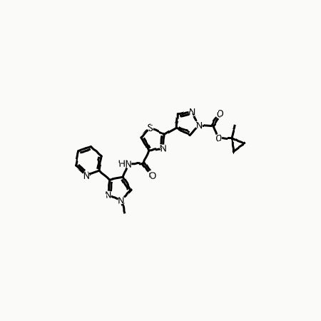 Cn1cc(NC(=O)c2csc(-c3cnn(C(=O)OC4(C)CC4)c3)n2)c(-c2ccccn2)n1